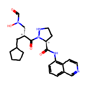 O=CN(O)C[C@@H](CC1CCCC1)C(=O)N1NCC[C@H]1C(=O)Nc1cccc2cnccc12